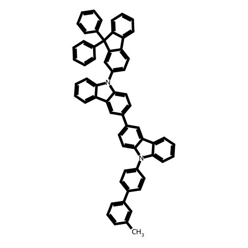 Cc1cccc(-c2ccc(-n3c4ccccc4c4cc(-c5ccc6c(c5)c5ccccc5n6-c5ccc6c(c5)C(c5ccccc5)(c5ccccc5)c5ccccc5-6)ccc43)cc2)c1